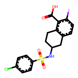 O=C(O)c1c(I)ccc2c1CCC(NS(=O)(=O)c1ccc(Cl)cc1)C2